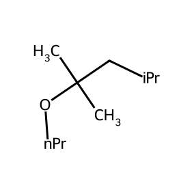 CCCOC(C)(C)CC(C)C